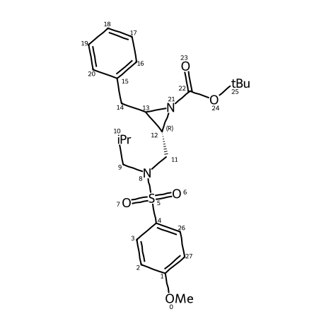 COc1ccc(S(=O)(=O)N(CC(C)C)C[C@@H]2C(Cc3ccccc3)N2C(=O)OC(C)(C)C)cc1